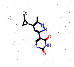 CCC1CC1c1cc(-c2c[nH]c(=O)[nH]c2=O)nnc1C